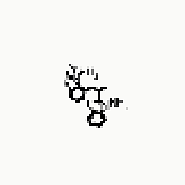 CC(C)c1sc2cccc(CC(C)c3oc4ccccc4[n+]3N)c2[n+]1N